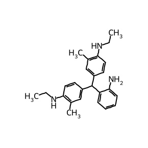 CCNc1ccc(C(c2ccc(NCC)c(C)c2)c2ccccc2N)cc1C